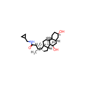 C[C@H](CC(=O)NCC1CC1)[C@H]1CC[C@H]2[C@@H]3[C@H](O)C[C@@H]4C[C@H](O)CC[C@]4(C)[C@H]3CC[C@]12C